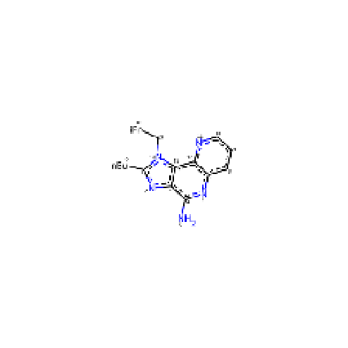 CCCCc1nc2c(N)nc3cccnc3c2n1CC(C)C